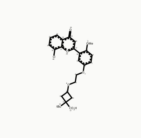 COc1ccc(OCCOC2CC(C(=O)O)(C(C)(C)C)C2)cc1-c1cc(=O)c2cccc(Cl)c2o1